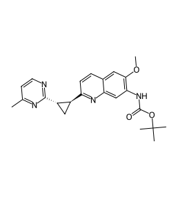 COc1cc2ccc([C@H]3C[C@@H]3c3nccc(C)n3)nc2cc1NC(=O)OC(C)(C)C